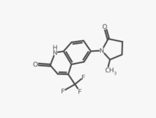 CC1CCC(=O)N1c1ccc2[nH]c(=O)cc(C(F)(F)F)c2c1